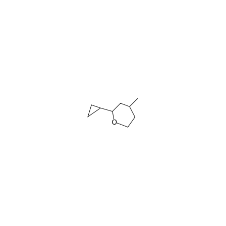 CC1CCOC(C2CC2)C1